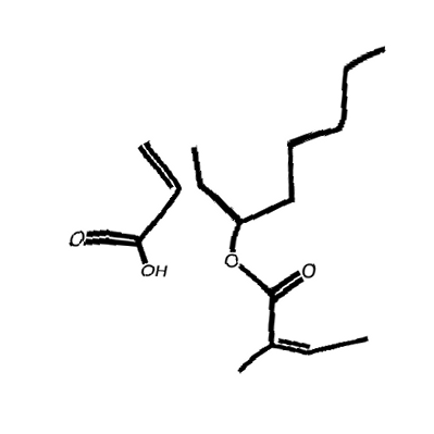 C=CC(=O)O.CC=C(C)C(=O)OC(CC)CCCCC